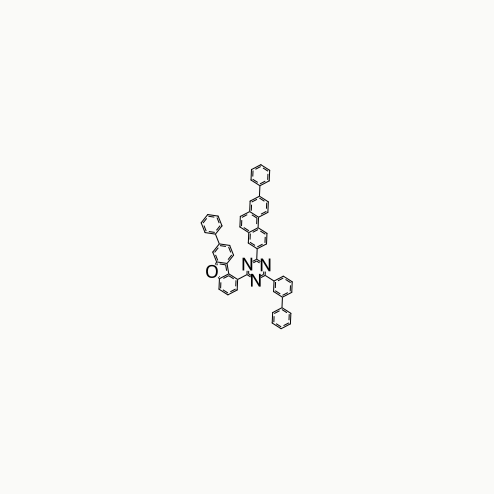 c1ccc(-c2cccc(-c3nc(-c4ccc5c(ccc6cc(-c7ccccc7)ccc65)c4)nc(-c4cccc5oc6cc(-c7ccccc7)ccc6c45)n3)c2)cc1